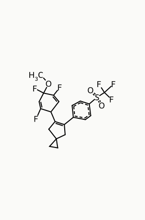 COC1(F)C=C(F)C(C2=C(c3ccc(S(=O)(=O)C(F)(F)F)cc3)CC3(CC3)C2)C=C1F